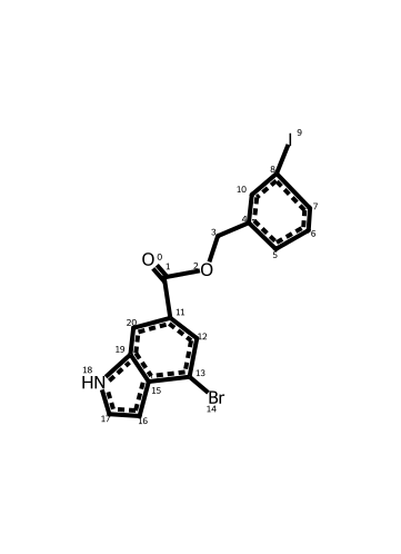 O=C(OCc1cccc(I)c1)c1cc(Br)c2cc[nH]c2c1